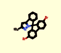 CC(C)(C)c1cc2n(n1)C1(c3cc(Br)ccc3-c3ccc(Br)cc31)c1ccccc1-2